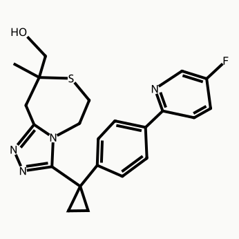 CC1(CO)Cc2nnc(C3(c4ccc(-c5ccc(F)cn5)cc4)CC3)n2CCS1